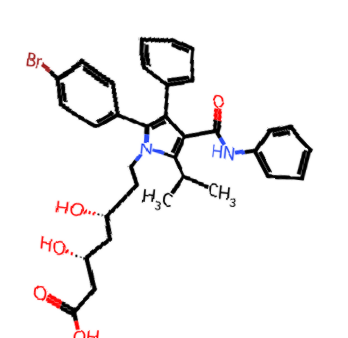 CC(C)c1c(C(=O)Nc2ccccc2)c(-c2ccccc2)c(-c2ccc(Br)cc2)n1CC[C@@H](O)C[C@@H](O)CC(=O)O